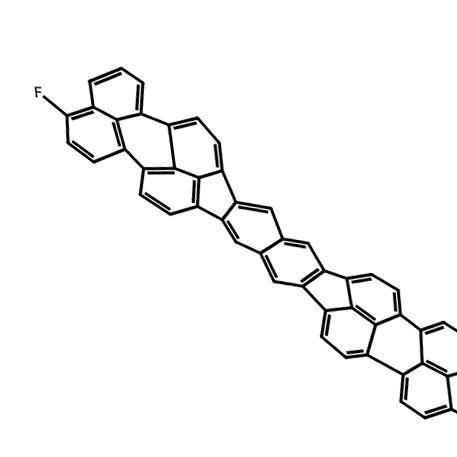 Fc1ccc2c3ccc4c5cc6cc7c(cc6cc5c5ccc(c6cccc1c62)c3c54)c1ccc2c3cccc4c(F)ccc(c5ccc7c1c25)c43